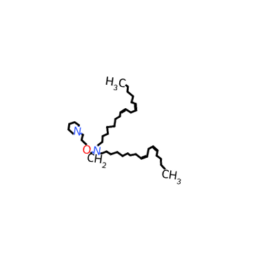 C=C(OCCCN1CCCCC1)N(CCCCCCCC/C=C\C/C=C\CCCCC)CCCCCCCC/C=C\C/C=C\CCCCC